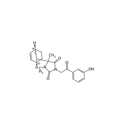 CN1C(=O)N(CC(=O)c2cccc(O)c2)C(=O)C1(C)C1C[C@@H]2C=C[C@H]1CC2